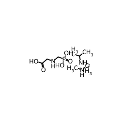 CC(C)N.CNC.O=C(O)CNCP(=O)(O)O